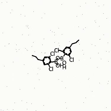 CCCc1cc(Cl)c(B(O)OB(O)c2c(Cl)cc(CCC)cc2Cl)c(Cl)c1